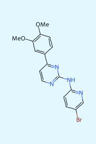 COc1ccc(-c2ccnc(Nc3ccc(Br)cn3)n2)cc1OC